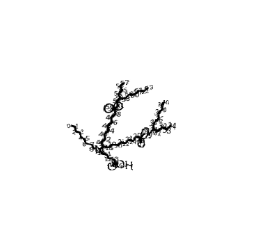 CCCCCCCCCN(CCCCC(=O)O)C(CCCCCCCCC(=O)OCC(CCCC)CCCCCC)CCCCCCCCC(=O)OCC(CCCC)CCCCCC